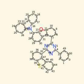 c1ccc(-c2nc(-c3cccc4oc5c(-n6c7ccccc7c7ccccc76)cccc5c34)nc(-c3cccc4sc5ccccc5c34)n2)cc1